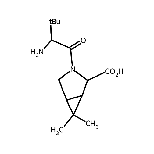 CC(C)(C)C(N)C(=O)N1CC2C(C1C(=O)O)C2(C)C